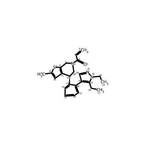 C=CC(=O)N1Cc2sc(C)cc2[C@H](c2ccccc2-c2cnn(CC)c2CC)C1